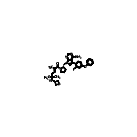 CC(C)(C/C=C(\C#N)C(=O)N1CCC[C@H]1Cn1nc(-c2ccc(Oc3ccccc3)cc2F)c2c(N)ncnc21)NC1COC1